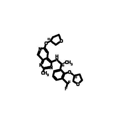 Cc1nc(N[C@H](C)c2cccc(C(F)F)c2O[C@H]2CCOC2)c2cc(O[C@H]3CCOC3)ncc2n1